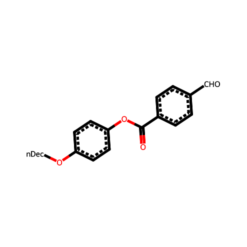 CCCCCCCCCCOc1ccc(OC(=O)c2ccc(C=O)cc2)cc1